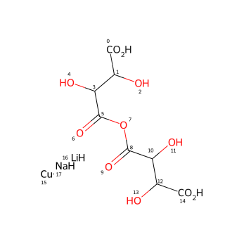 O=C(O)C(O)C(O)C(=O)OC(=O)C(O)C(O)C(=O)O.[Cu].[LiH].[NaH]